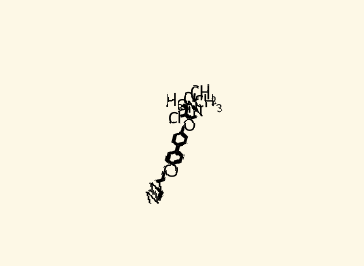 CC(C)(C)n1ncc(OCc2ccc(-c3ccc(OCCCn4ccnc4)cc3)cc2)c(Cl)c1=O